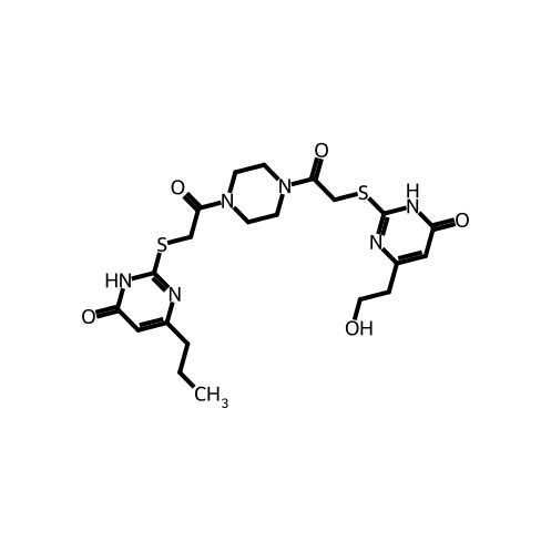 CCCc1cc(=O)[nH]c(SCC(=O)N2CCN(C(=O)CSc3nc(CCO)cc(=O)[nH]3)CC2)n1